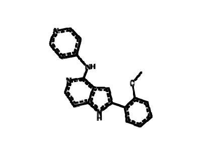 COc1ccccc1-c1cc2c(Nc3ccncc3)nccc2[nH]1